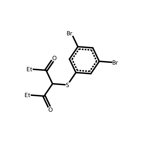 CCC(=O)C(Sc1cc(Br)cc(Br)c1)C(=O)CC